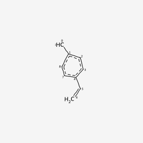 [CH]c1ccc(C=C)cc1